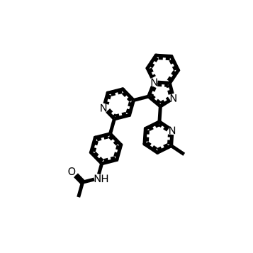 CC(=O)Nc1ccc(-c2cc(-c3c(-c4cccc(C)n4)nc4ccccn34)ccn2)cc1